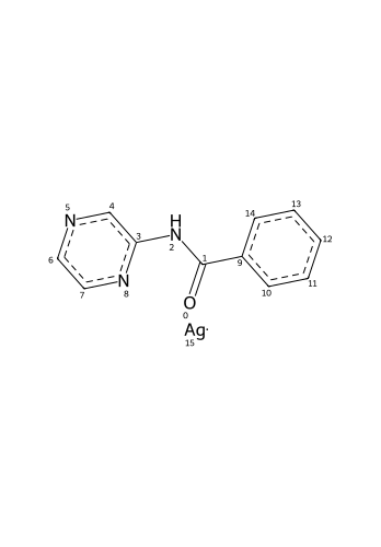 O=C(Nc1cnccn1)c1ccccc1.[Ag]